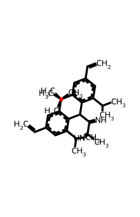 C=Cc1cc(C(C)C)c(C(C(=N)C(C)=N)c2c(C(C)C)cc(C=C)cc2C(C)C)c(C(C)C)c1